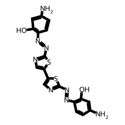 Nc1ccc(/N=N/c2ncc(-c3cnc(/N=N/c4ccc(N)cc4O)s3)s2)c(O)c1